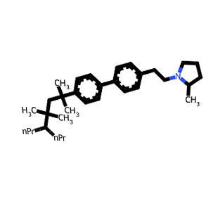 CCCC(CCC)C(C)(C)CC(C)(C)c1ccc(-c2ccc(CCN3CCCC3C)cc2)cc1